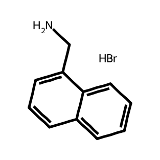 Br.NCc1cccc2ccccc12